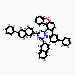 c1ccc(-c2cccc(-c3ccc4oc5ccccc5c4c3C3N=C(c4ccc5cc(-c6ccccc6)ccc5c4)N=C(c4ccc5ccccc5c4)N3)c2)cc1